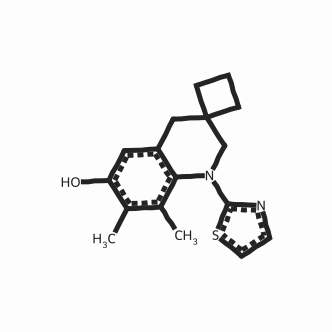 Cc1c(O)cc2c(c1C)N(c1nccs1)CC1(CCC1)C2